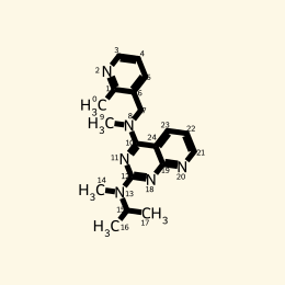 Cc1ncccc1CN(C)c1nc(N(C)C(C)C)nc2ncccc12